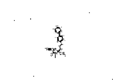 CC(C)(C)OC(=O)NC(C)(CCCc1ccc(-c2ccccc2)cc1)C(=O)O